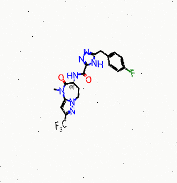 CN1C(=O)[C@H](NC(=O)c2nnc(Cc3ccc(F)cc3)[nH]2)CCn2nc(C(F)(F)F)cc21